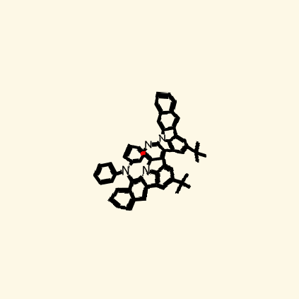 CC(C)(C)c1cc2c3cc4ccccc4cc3n3c4ncc5c(c6cc(C(C)(C)C)cc7c8cc9ccccc9c(N(c9ccccc9)c9ccccc9)c8n5c76)c4c(c1)c23